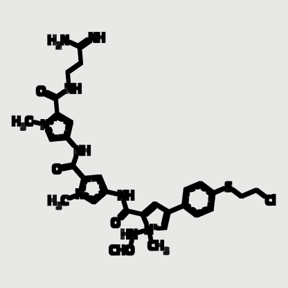 Cn1cc(NC(=O)c2cc(NC(=O)C3=CC(c4ccc(SCCCl)cc4)=C[N+]3(C)NC=O)cn2C)cc1C(=O)NCCC(=N)N